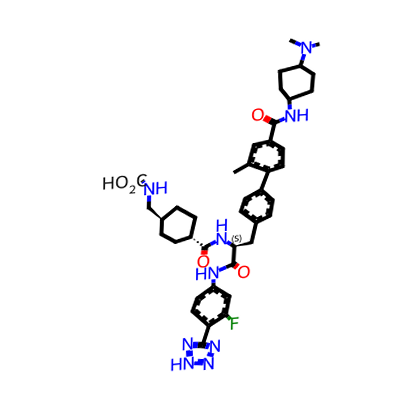 Cc1cc(C(=O)NC2CCC(N(C)C)CC2)ccc1-c1ccc(C[C@H](NC(=O)[C@H]2CC[C@H](CNC(=O)O)CC2)C(=O)Nc2ccc(-c3nn[nH]n3)c(F)c2)cc1